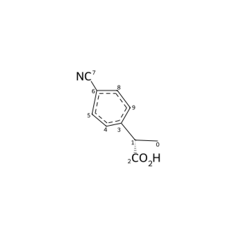 C[C@H](C(=O)O)c1ccc(C#N)cc1